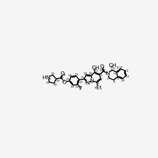 CCc1cc(C(=O)N2CCc3ccccc3[C@H]2C)c(C)c2cc(-c3ccc(OC(=O)C4CCNC4)cc3F)nn12